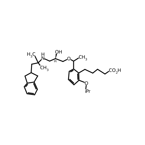 CC(C)Oc1cccc(C(C)OC[C@H](O)CNC(C)(C)CC2Cc3ccccc3C2)c1CCCCC(=O)O